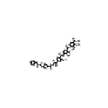 COc1c(NC(=O)c2ccc(NC(=O)c3ccc(NC(=O)CNC(=O)c4ccc(NC(=O)/C(C)=C/c5ccc(F)cc5)cn4)cc3O)c(OC)c2O)ccc(C(=O)O)c1O